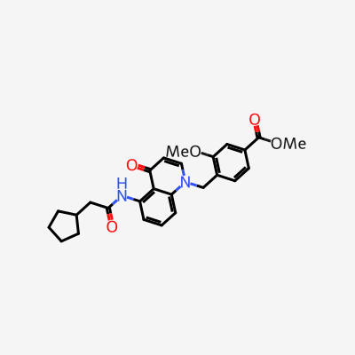 COC(=O)c1ccc(Cn2ccc(=O)c3c(NC(=O)CC4CCCC4)cccc32)c(OC)c1